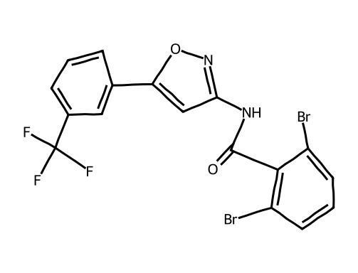 O=C(Nc1cc(-c2cccc(C(F)(F)F)c2)on1)c1c(Br)cccc1Br